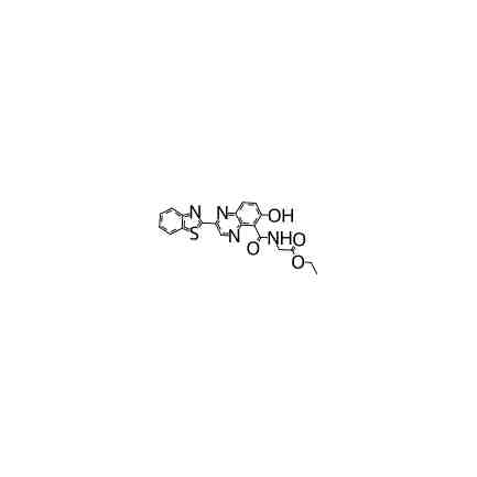 CCOC(=O)CNC(=O)c1c(O)ccc2nc(-c3nc4ccccc4s3)cnc12